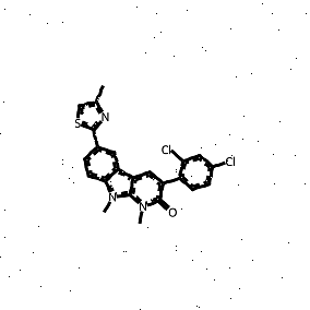 Cc1csc(-c2ccc3c(c2)c2cc(-c4ccc(Cl)cc4Cl)c(=O)n(C)c2n3C)n1